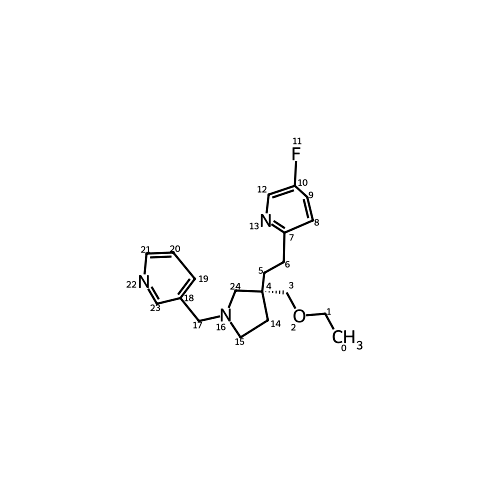 CCOC[C@]1(CCc2ccc(F)cn2)CCN(Cc2cccnc2)C1